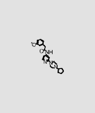 COc1cccc(CC(=O)Nc2ccnc(N3CCN(C4CCCC4)CC3)c2)c1